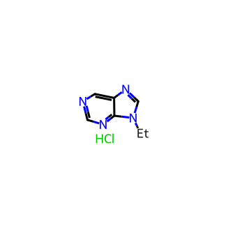 CCn1cnc2cncnc21.Cl